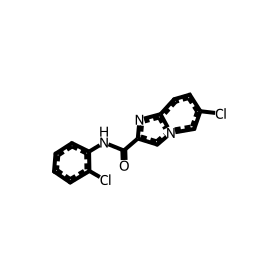 O=C(Nc1ccccc1Cl)c1cn2cc(Cl)ccc2n1